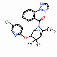 [2H]C1([2H])C2CC(C1Oc1ccc(Cl)cn1)N(C(=O)c1ccccc1-n1nccn1)C2C